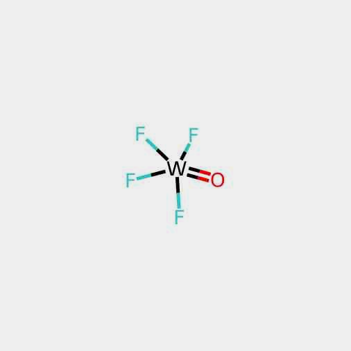 [O]=[W]([F])([F])([F])[F]